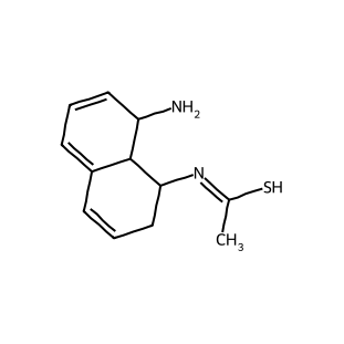 C/C(S)=N\C1CC=CC2=CC=CC(N)C21